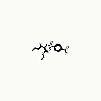 CCCC(O)C(OS(=O)(=O)c1ccc([N+](=O)[O-])cc1)C(=O)OCC